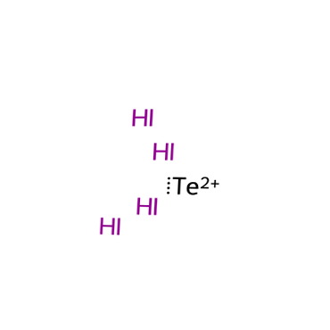 I.I.I.I.[Te+2]